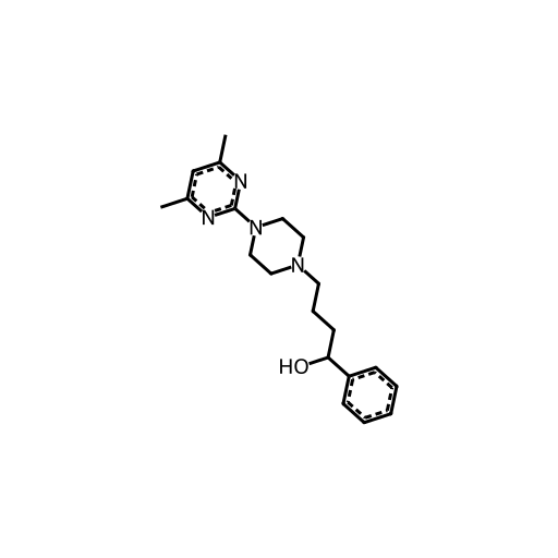 Cc1cc(C)nc(N2CCN(CCCC(O)c3ccccc3)CC2)n1